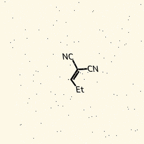 CC[C]=C(C#N)C#N